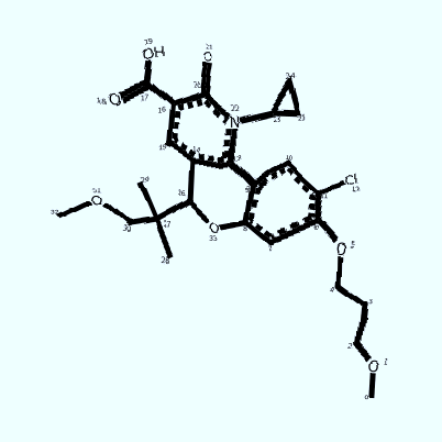 COCCCOc1cc2c(cc1Cl)-c1c(cc(C(=O)O)c(=O)n1C1CC1)C(C(C)(C)COC)O2